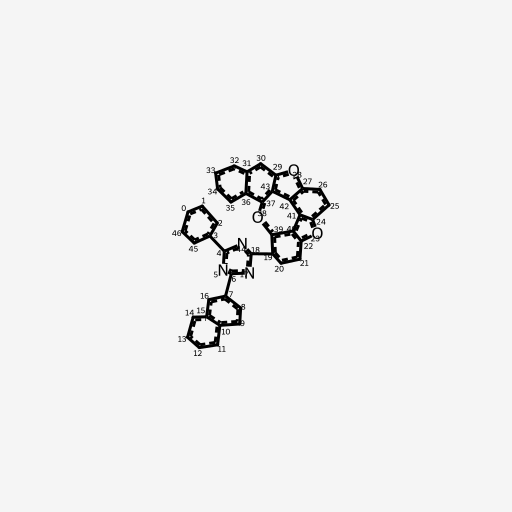 c1ccc(-c2nc(-c3ccc4ccccc4c3)nc(-c3ccc4oc5ccc6oc7cc8ccccc8c8oc3c4c5c6c78)n2)cc1